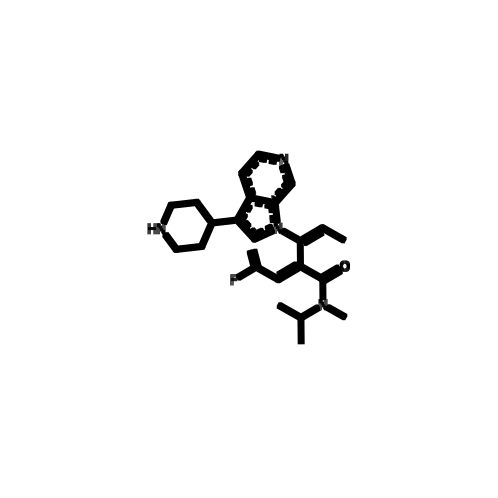 C=C(F)/C=C(C(=O)N(C)C(C)C)\C(=C/C)n1cc(C2CCNCC2)c2ccncc21